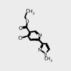 CCOC(=O)c1cnc(-c2ccn(C)n2)cc1Cl